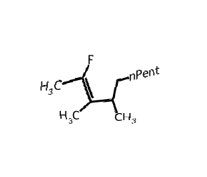 CCCCCCC(C)/C(C)=C(/C)F